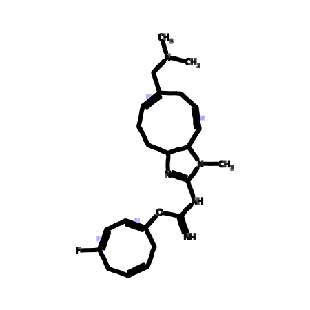 CN(C)C/C1=C/CCC2N=C(NC(=N)O/C3=C/C=C(/F)CC=CC3)N(C)C2/C=C\C1